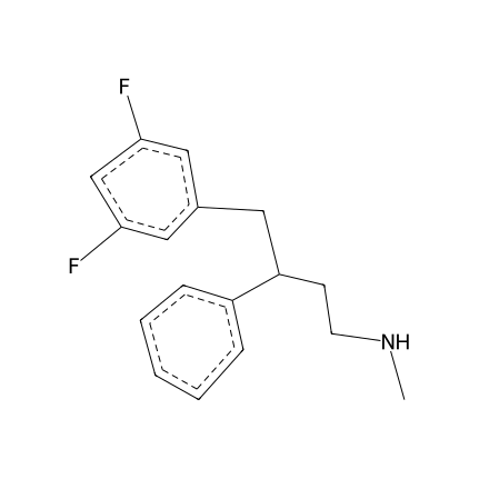 CNCCC(Cc1cc(F)cc(F)c1)c1ccccc1